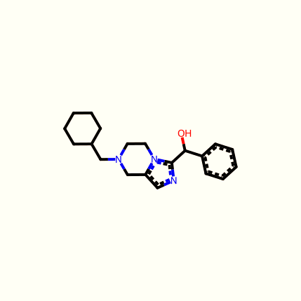 OC(c1ccccc1)c1ncc2n1CCN(CC1CCCCC1)C2